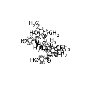 C=CCc1cc(CC=C)c(OCCC)c(/C=C/C(=O)c2ccc(O)cc2)c1O.CCCOc1c(C(C)(C)CC)cc(C(C)(C)CC)c(O)c1/C=C/C(=O)c1ccc(O)cc1